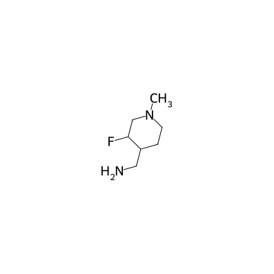 CN1CCC(CN)C(F)C1